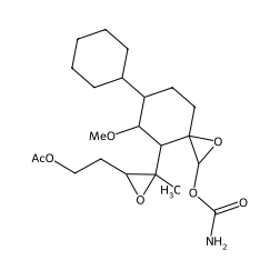 COC1C(C2CCCCC2)CCC2(OC2OC(N)=O)C1C1(C)OC1CCOC(C)=O